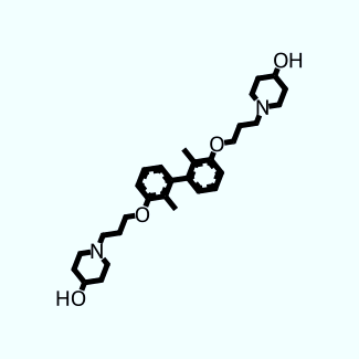 Cc1c(OCCCN2CCC(O)CC2)cccc1-c1cccc(OCCCN2CCC(O)CC2)c1C